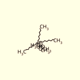 CCCCCCCCP(C)(CCCCCCCC)(CCCCCCCC)OP(=O)(OC)OC